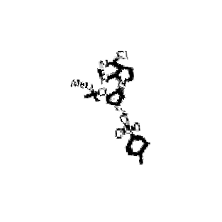 COC(C)(C)O[C@@H]1C[C@@H](COS(=O)(=O)c2ccc(C)cc2)C[C@H]1n1ccc2c(Cl)ncnc21